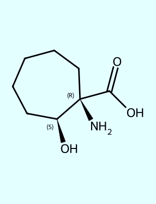 N[C@]1(C(=O)O)CCCCC[C@@H]1O